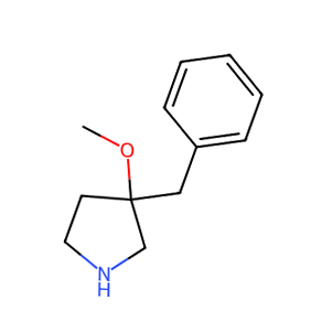 COC1(Cc2ccccc2)CCNC1